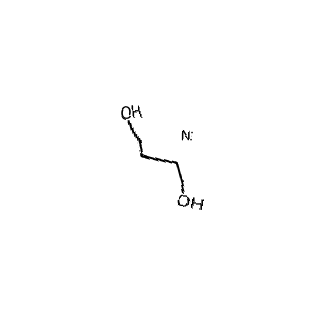 OCCO.[N]